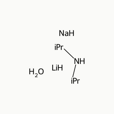 CC(C)NC(C)C.O.[LiH].[NaH]